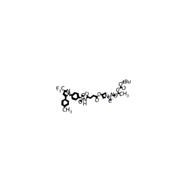 Cc1ccc(-c2cc(C(F)(F)F)nn2-c2ccc(S(=O)(=O)NC(=O)CCC(=O)OC3CN(/[N+]([O-])=N/OC(C)OC(=O)OC(C)(C)C)C3)cc2)cc1